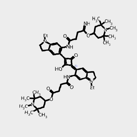 CCN1CCc2cc(C3=C(O)/C(=c4/cc5c(cc4NC(=O)CCC(=O)OC4CC(C)(C)N(C)C(C)(C)C4)=[N+](CC)CC5)C3=O)c(NC(=O)CCC(=N)OC3CC(C)(C)N(C)C(C)(C)C3)cc21